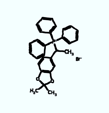 CC(c1ccc2c(c1)OC(C)(C)O2)[P+](c1ccccc1)(c1ccccc1)c1ccccc1.[Br-]